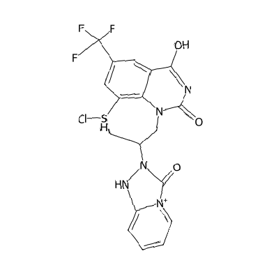 O=c1nc(O)c2cc(C(F)(F)F)cc3c2n1CC(n1[nH]c2cccc[n+]2c1=O)C[SH]3Cl